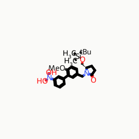 COc1ccc(CN2C(=O)CC[C@H]2CO[Si](C)(C)C(C)(C)C)cc1-c1cccc(N(O)O)c1